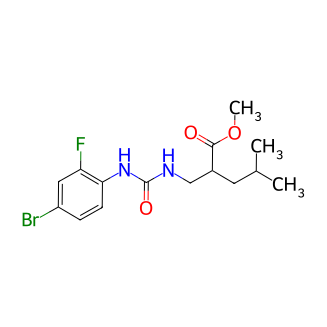 COC(=O)C(CNC(=O)Nc1ccc(Br)cc1F)CC(C)C